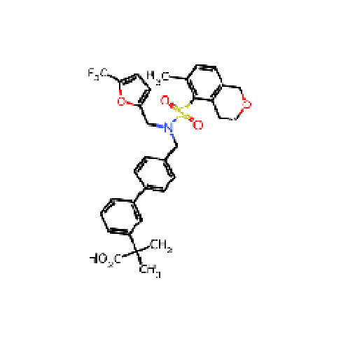 Cc1ccc2c(c1S(=O)(=O)N(Cc1ccc(-c3cccc(C(C)(C)C(=O)O)c3)cc1)Cc1ccc(C(F)(F)F)o1)CCOC2